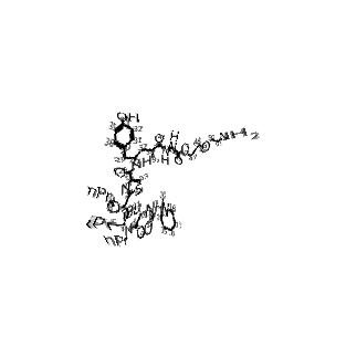 CCCO[C@H](C[C@H](C(C)C)N(CCC)C(=O)[C@@H](NC(=O)[C@H]1CCCCN1C)[C@@H](C)CC)c1nc(C(=O)NC(Cc2ccc(O)cc2)C[C@H](C)C(=O)NNC(=O)OCCOCCN)cs1